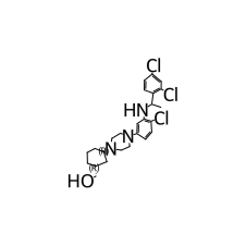 CC(Nc1cc(N2CCN([C@@H]3CCC[C@@H](CO)C3)CC2)ccc1Cl)c1ccc(Cl)cc1Cl